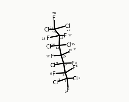 FC(Cl)(Cl)C(F)(F)C(F)(Cl)C(F)(F)C(Cl)(Cl)C(F)(F)C(F)(Cl)Cl